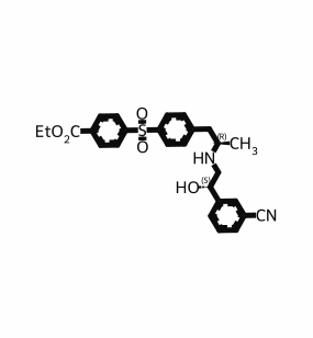 CCOC(=O)c1ccc(S(=O)(=O)c2ccc(C[C@@H](C)NC[C@@H](O)c3cccc(C#N)c3)cc2)cc1